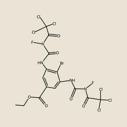 CCOC(=O)c1cc(NC(=O)N(F)C(=O)C(Cl)(Cl)Cl)c(Br)c(NC(=O)N(F)C(=O)C(Cl)(Cl)Cl)c1